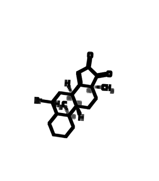 C[C@]12CC[C@H]3[C@@H](CC(Br)C4CCCC[C@@]43C)C1=CC(=O)C2=O